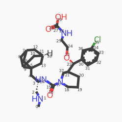 CNC[C@H](CC12CC3CC1C[C@@H](C3)C2)NC(=O)N1CCCC([C@@H](OCCNC(=O)O)c2cccc(Cl)c2)C1